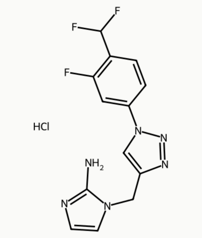 Cl.Nc1nccn1Cc1cn(-c2ccc(C(F)F)c(F)c2)nn1